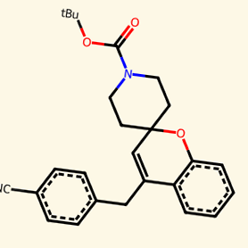 CC(C)(C)OC(=O)N1CCC2(C=C(Cc3ccc(C#N)cc3)c3ccccc3O2)CC1